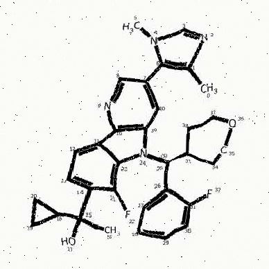 Cc1ncn(C)c1-c1cnc2c3ccc(C(C)(O)C4CC4)c(F)c3n([C@H](c3ccccc3F)C3CCOCC3)c2c1